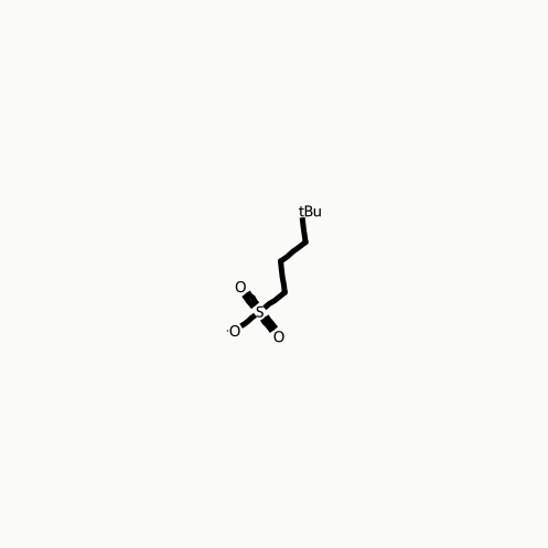 CC(C)(C)CCCS([O])(=O)=O